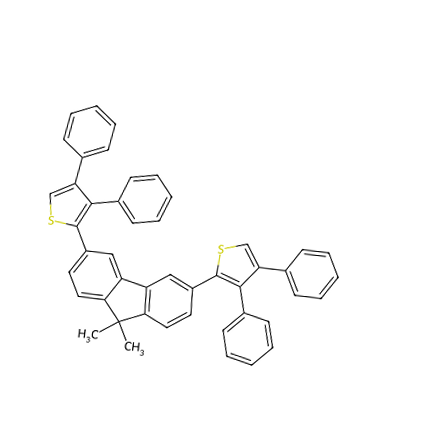 CC1(C)c2ccc(-c3scc(-c4ccccc4)c3-c3ccccc3)cc2-c2cc(-c3scc(-c4ccccc4)c3-c3ccccc3)ccc21